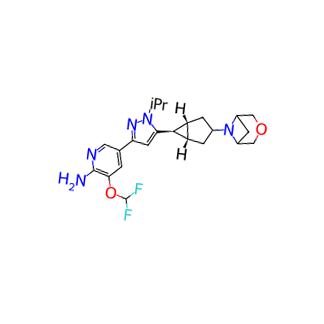 CC(C)n1nc(-c2cnc(N)c(OC(F)F)c2)cc1[C@H]1[C@@H]2CC(N3C4COCC3C4)C[C@@H]21